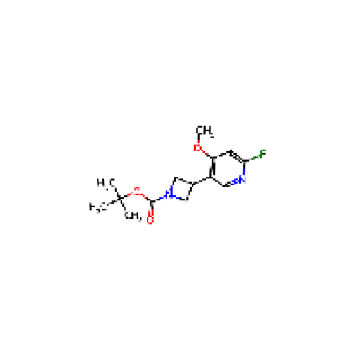 COc1cc(F)ncc1C1CN(C(=O)OC(C)(C)C)C1